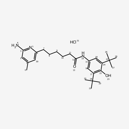 Cc1cc(N)nc(CCCCCC(=O)Nc2cc(C(C)(C)C)c(O)c(C(C)(C)C)c2)c1.Cl